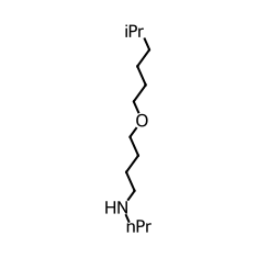 CCCNCCCCOCCCCC(C)C